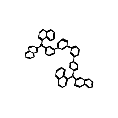 c1cc(-c2ccc(N(c3ccc4ccccc4c3)c3cccc4ccccc34)cc2)cc(-c2cccc(-c3cccc(N(c4ccc5ccccc5c4)c4cccc5ccccc45)c3)c2)c1